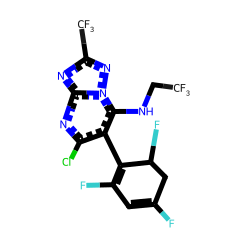 FC1=CC(F)=C(c2c(Cl)nc3nc(C(F)(F)F)nn3c2NCC(F)(F)F)C(F)C1